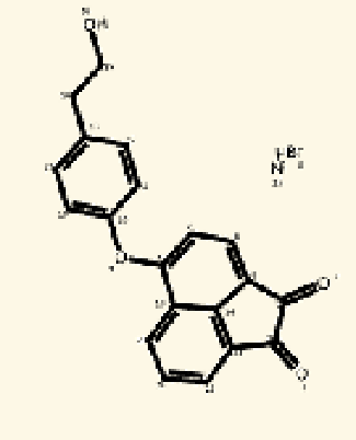 Br.O=C1C(=O)c2ccc(Oc3ccc(CCO)cc3)c3cccc1c23.[Ni]